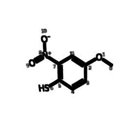 COc1ccc(S)c([N+](=O)[O-])c1